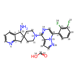 N[C@@H]1c2cccnc2CC12CCN(c1ncc(-c3cccc(F)c3F)n3nccc13)CC2.O=CO